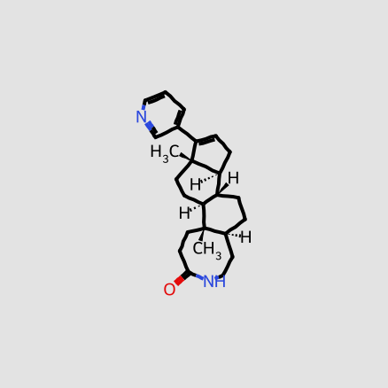 C[C@]12CCC(=O)NCC[C@@H]1CC[C@@H]1[C@@H]2CC[C@]2(C)C(c3cccnc3)=CC[C@@H]12